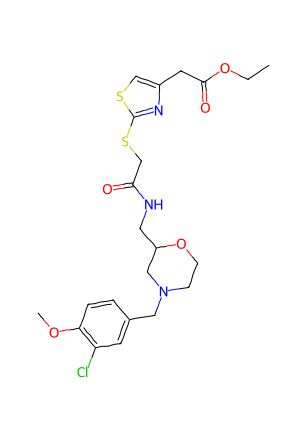 CCOC(=O)Cc1csc(SCC(=O)NCC2CN(Cc3ccc(OC)c(Cl)c3)CCO2)n1